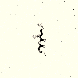 CSCC[C@H](N)C(=O)OC(=O)CN